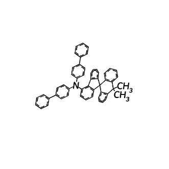 CC1(C)c2ccccc2C2(c3ccccc3-c3c(N(c4ccc(-c5ccccc5)cc4)c4ccc(-c5ccccc5)cc4)cccc32)c2ccccc21